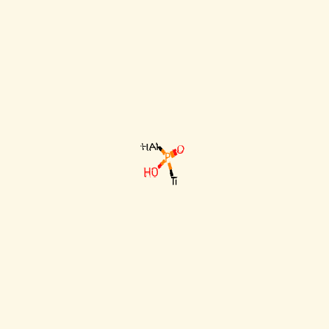 O=[P](O)([AlH])[Ti]